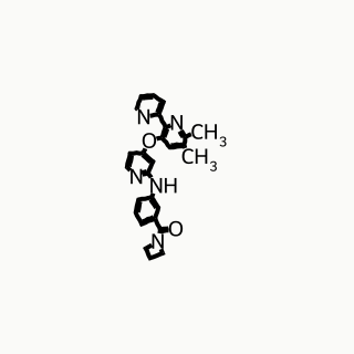 Cc1cc(Oc2ccnc(Nc3cccc(C(=O)N4CCC4)c3)c2)c(-c2ccccn2)nc1C